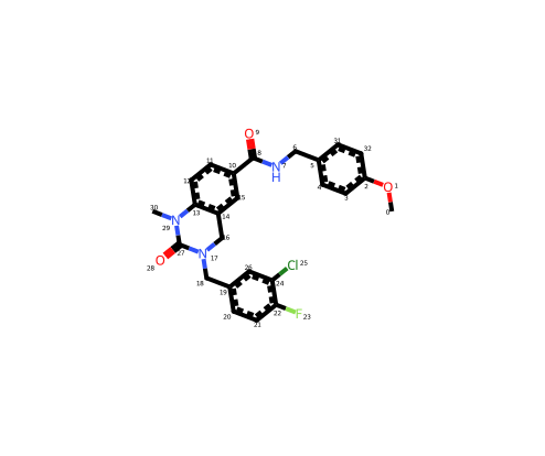 COc1ccc(CNC(=O)c2ccc3c(c2)CN(Cc2ccc(F)c(Cl)c2)C(=O)N3C)cc1